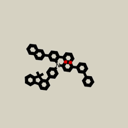 CC1(C)c2ccccc2-c2cccc(-c3ccc(N(c4ccc(-c5cccc(-c6ccccc6)c5)cc4)c4cc(-c5ccc6ccccc6c5)ccc4-c4ccccc4)cc3)c21